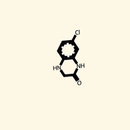 O=C1CNc2ccc(Cl)cc2N1